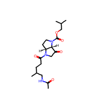 CC(=O)NCC(C)CCC(=O)N1CC(=O)[C@@H]2[C@H]1CCN2C(=O)OCC(C)C